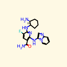 NC(=O)c1cc(F)c(NC2CCCC[C@@H]2N)nc1Nc1cnc2ccccn12